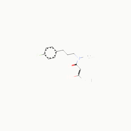 CON(CCCc1ccc(F)cc1)C(=O)C=C(O)C(=O)O